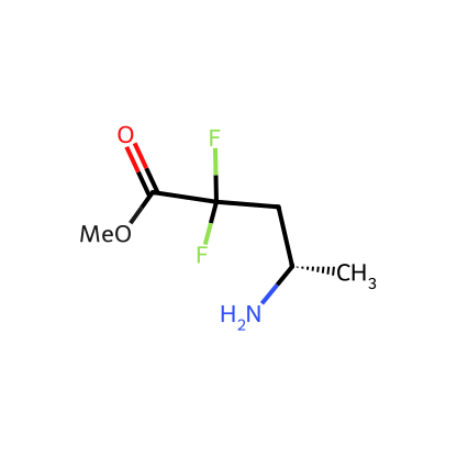 COC(=O)C(F)(F)C[C@H](C)N